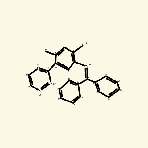 Cc1cc(F)c(N=C(c2ccccc2)c2ccccc2)cc1-c1nccnn1